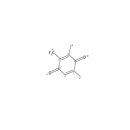 CC1=CC(=O)C(C(F)(F)F)=C(C)C1=O